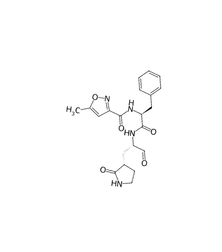 Cc1cc(C(=O)N[C@@H](Cc2ccccc2)C(=O)N[C@H](C=O)C[C@@H]2CCNC2=O)no1